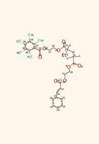 CCC(C)(CC(C)(C)C(=O)OCCOC(=O)/C=C/c1ccccc1)C(=O)OCCOC(=O)c1c(F)c(F)c(F)c(F)c1F